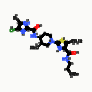 CCOC(=O)c1sc(N2CC[C@@H](NC(=O)c3nc(Cl)c(CC)[nH]3)[C@@H](OC)C2)nc1C(=O)NCCOC